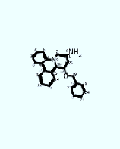 NC1=CN2C3=CC=CCC3=c3ccccc3=C2C(OCc2ccccc2)=C1